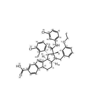 CCOc1cccc(CN2[C@H]3CCn4c(nc5cc(C(=O)O)ccc54)[C@H]3[C@H](c3cccc(Cl)c3F)[C@]2(C)C(=O)Nc2cccc(Cl)n2)c1